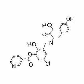 O=C(Oc1cc(Cl)cc(C=NC(Cc2ccc(O)cc2)C(=O)CO)c1O)c1cccnc1